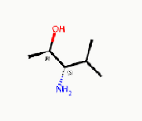 CC(C)[C@H](N)[C@@H](C)O